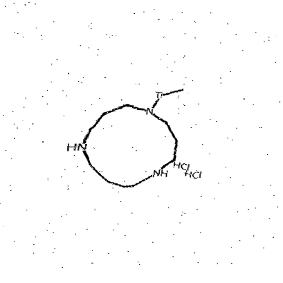 Cl.Cl.[CH3][Ti][N]1CCCNCCCNCCC1